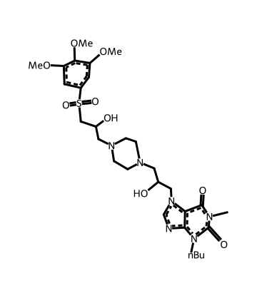 CCCCn1c(=O)n(C)c(=O)c2c1ncn2CC(O)CN1CCN(CC(O)CS(=O)(=O)c2cc(OC)c(OC)c(OC)c2)CC1